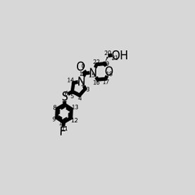 O=C(N1CCC(Sc2ccc(F)cc2)C1)N1CCO[C@@H](CO)C1